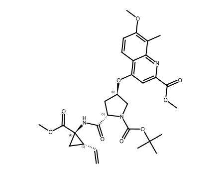 C=C[C@@H]1C[C@]1(NC(=O)[C@@H]1C[C@@H](Oc2cc(C(=O)OC)nc3c(C)c(OC)ccc23)CN1C(=O)OC(C)(C)C)C(=O)OC